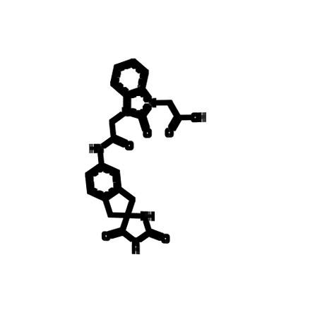 O=C(O)Cn1c(=O)n(CC(=O)Nc2ccc3c(c2)CC2(C3)NC(=O)NC2=O)c2ccccc21